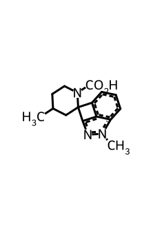 CC1CCN(C(=O)O)C2(C1)c1cccc3c1c2nn3C